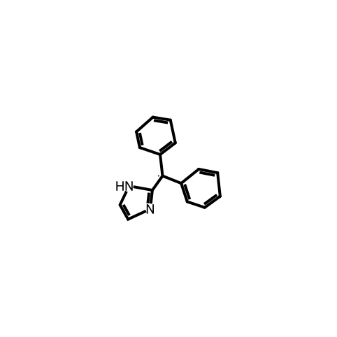 c1ccc([C](c2ccccc2)c2ncc[nH]2)cc1